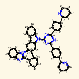 c1ccc(-c2ccc(-c3nc(-c4ccc(-c5ccccn5)cc4)nc(-n4c5ccccc5c5cc6c(cc54)c4ccccc4c4nc5ccccc5n64)n3)cc2)nc1